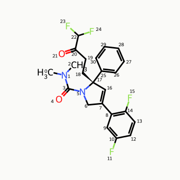 CN(C)C(=O)N1CC(c2cc(F)ccc2F)=C[C@@]1(CCC(=O)C(F)F)c1ccccc1